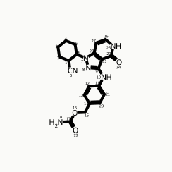 N#CC1CCCCC1n1nc(Nc2ccc(COC(N)=O)cc2)c2c(=O)[nH]ccc21